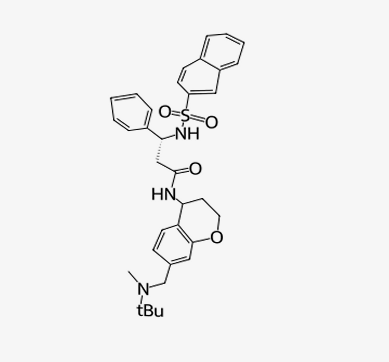 CN(Cc1ccc2c(c1)OCCC2NC(=O)C[C@@H](NS(=O)(=O)c1ccc2ccccc2c1)c1ccccc1)C(C)(C)C